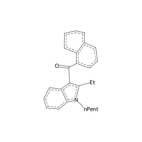 CCCCCn1c(CC)c(C(=O)c2cccc3ccccc23)c2ccccc21